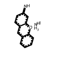 I.N.N=c1ccc2cc3ccccc3oc-2c1